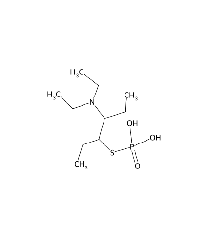 CCC(SP(=O)(O)O)C(CC)N(CC)CC